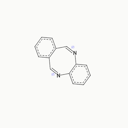 C1=N\c2ccccc2/N=C\c2ccccc2/1